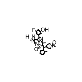 CC(=O)N1CC=C(/C(=C(/OC=O)C(C)n2nc(-c3cc(O)cc(F)c3)c3c(N)ncnc32)c2ccccc2C)CC1